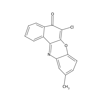 Cc1ccc2oc3c(Cl)c(=O)c4ccccc4c-3nc2c1